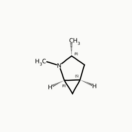 C[C@@H]1C[C@H]2C[C@H]2N1C